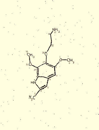 COc1cc2cc(C)[nH]c2c(OC)c1OCCN